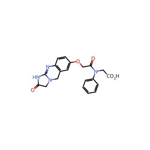 O=C(O)CN(C(=O)COc1ccc2c(c1)CN1CC(=O)NC1=N2)c1ccccc1